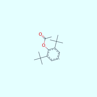 CC(=O)Oc1c(C(C)(C)C)c[c]cc1C(C)(C)C